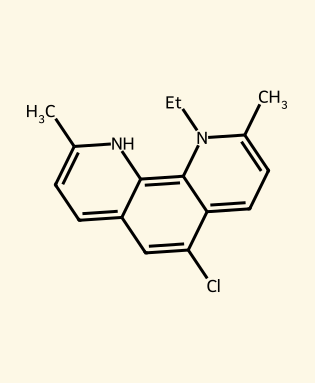 CCN1C(C)=CC=c2c(Cl)cc3c(c21)NC(C)=CC=3